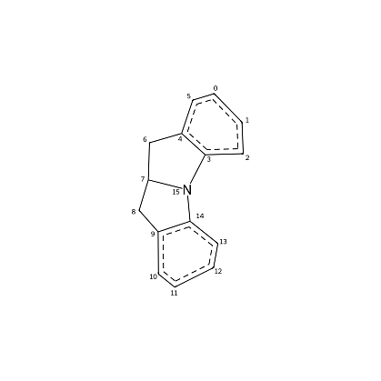 c1ccc2c(c1)CC1Cc3ccccc3N21